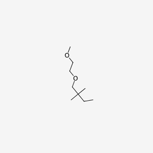 CCC(C)(C)COCCOC